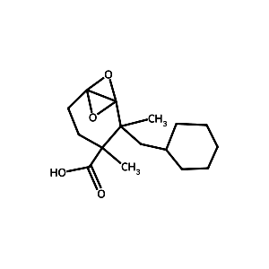 CC1(C(=O)O)CCC23OC2(O3)C1(C)CC1CCCCC1